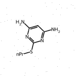 CCCSc1nc(N)cc(N)n1